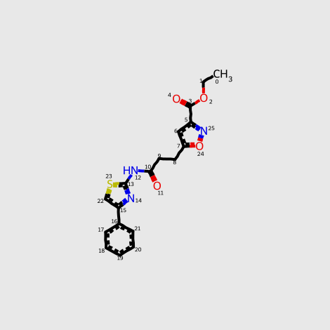 CCOC(=O)c1cc(CCC(=O)Nc2nc(-c3ccccc3)cs2)on1